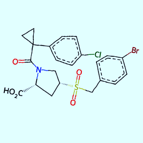 O=C(O)[C@H]1C[C@@H](S(=O)(=O)Cc2ccc(Br)cc2)CN1C(=O)C1(c2ccc(Cl)cc2)CC1